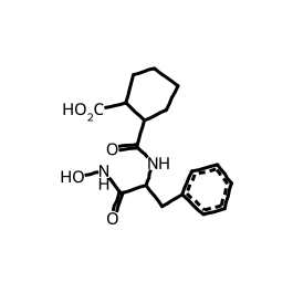 O=C(NO)C(Cc1ccccc1)NC(=O)C1CCCCC1C(=O)O